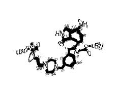 CC(C)(C)OC(=O)n1c(-c2ccc(O)c3c2C(=O)NC3)cc2cc(CN3CCN(CCO[Si](C)(C)C(C)(C)C)CC3)ccc21